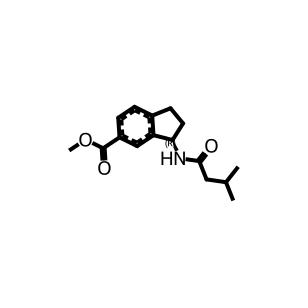 COC(=O)c1ccc2c(c1)[C@H](NC(=O)CC(C)C)CC2